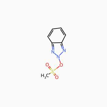 CS(=O)(=O)On1nc2ccccc2n1